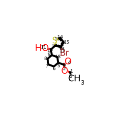 CCOC(=O)C1CCCC(C(O)c2sccc2Br)C1